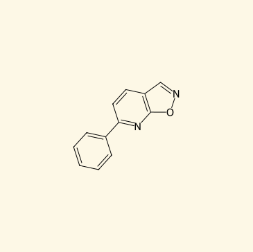 c1ccc(-c2ccc3cnoc3n2)cc1